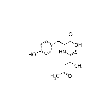 CC(=O)CC(C)C(=S)N[C@@H](Cc1ccc(O)cc1)C(=O)O